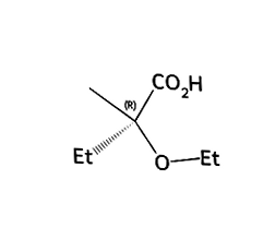 CCO[C@](C)(CC)C(=O)O